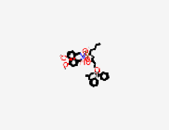 C=CC[C@@H](C)[C@@H](C[C@@H](O)CCO[Si](CC(C)C)(c1ccccc1)c1ccccc1)S(=O)(=O)N(Cc1ccc(OC)cc1)Cc1ccc(OC)cc1